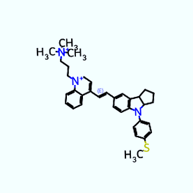 CSc1ccc(N2c3ccc(/C=C/c4cc[n+](CCC[N+](C)(C)C)c5ccccc45)cc3C3CCCC32)cc1